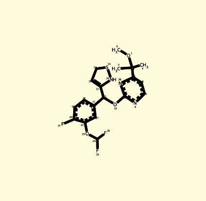 COC(C)(C)c1ccnc(OC(C2=CCSN2)c2ccc(F)c(OC(F)F)c2)n1